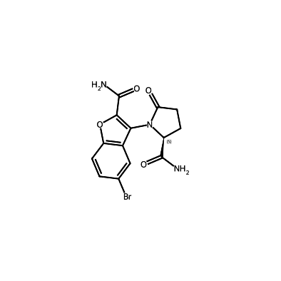 NC(=O)c1oc2ccc(Br)cc2c1N1C(=O)CC[C@H]1C(N)=O